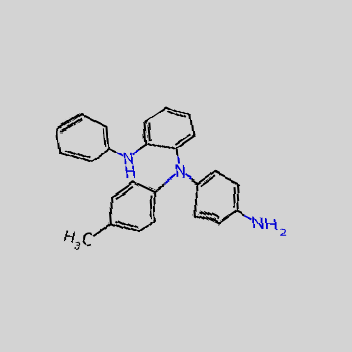 Cc1ccc(N(c2ccc(N)cc2)c2ccccc2Nc2ccccc2)cc1